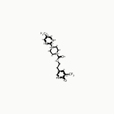 O=C(OCCc1c[nH]c(=O)c(C(F)(F)F)c1)N1CCN(c2ncc(C(F)(F)F)cn2)CC1